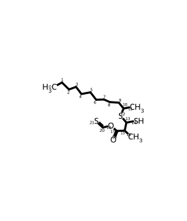 CCCCCCCCCCC(C)SC(S)C(C)C(=O)OC=S